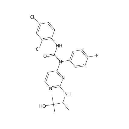 CC(Nc1nccc(N(C(=O)Nc2ccc(Cl)cc2Cl)c2ccc(F)cc2)n1)C(C)(C)O